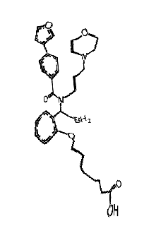 BC(c1ccccc1OCCCCCC(=O)O)N(CCCN1CCOCC1)C(=O)c1ccc(-c2ccoc2)cc1